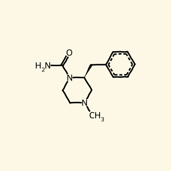 CN1CCN(C(N)=O)[C@@H](Cc2ccccc2)C1